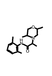 Cc1cccc(C)c1NC(=O)C(C)N1CC(C)OCC1C